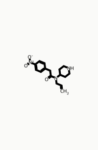 C=CCN(C(=O)Cc1ccc([N+](=O)[O-])cc1)C1CCNCC1